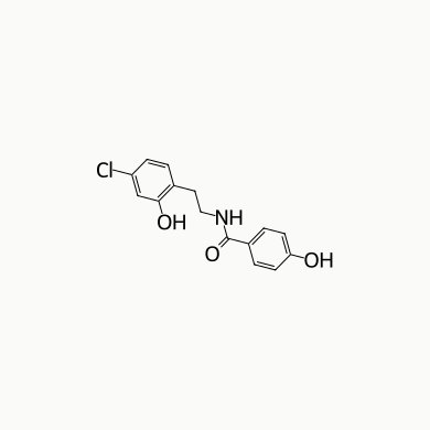 O=C(NCCc1ccc(Cl)cc1O)c1ccc(O)cc1